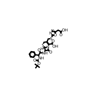 CC(C)(C)OC(=O)NC(C(=O)NC1C(=O)N2C(C(=O)O)=C(CSc3nnc(CC(=O)O)o3)CS[C@@H]12)c1ccccc1